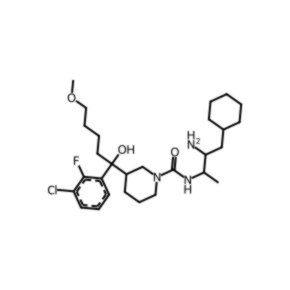 COCCCCC(O)(c1cccc(Cl)c1F)C1CCCN(C(=O)NC(C)C(N)CC2CCCCC2)C1